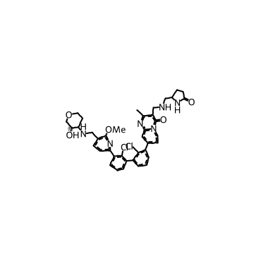 COc1nc(-c2cccc(-c3cccc(-c4ccn5c(=O)c(CNCC6CCC(=O)N6)c(C)nc5c4)c3Cl)c2Cl)ccc1CNC1CCOC[C@@H]1O